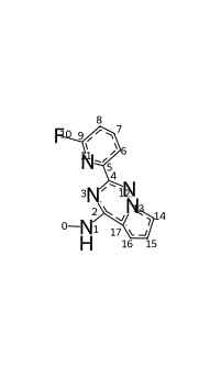 CNc1nc(-c2cccc(F)n2)nn2cccc12